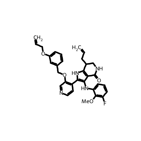 C=CCOc1cccc(COc2cnccc2-c2[nH]c3c(c2Nc2cccc(F)c2OC)C(=O)NCC3CC=C)c1